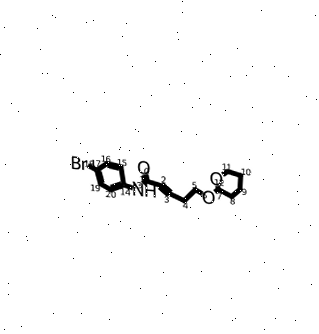 O=C(C#CCCOC1CCCCO1)Nc1ccc(Br)cc1